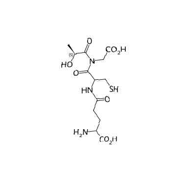 C[C@H](O)C(=O)N(CC(=O)O)C(=O)C(CS)NC(=O)CCC(N)C(=O)O